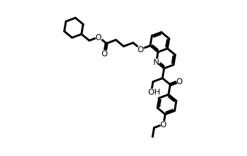 CCOc1ccc(C(=O)C(CO)c2ccc3cccc(OCCCC(=O)OCC4CCCCC4)c3n2)cc1